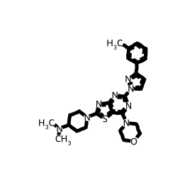 Cc1cccc(-c2ccn(-c3nc(N4CCOCC4)c4sc(N5CCC(N(C)C)CC5)nc4n3)n2)c1